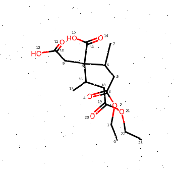 CCOC(=O)CC(C)C(CC(=O)O)(C(=O)O)C(C)CC(=O)OCC